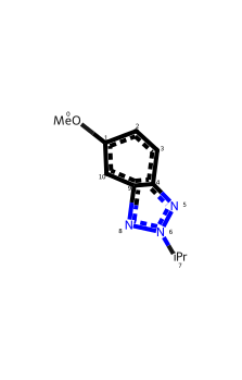 COc1ccc2nn(C(C)C)nc2c1